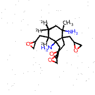 [2H]C1([2H])CC(C)(N)C(CC2CO2)(CC2CO2)C(N)(CC2CO2)C1([2H])CC1CO1